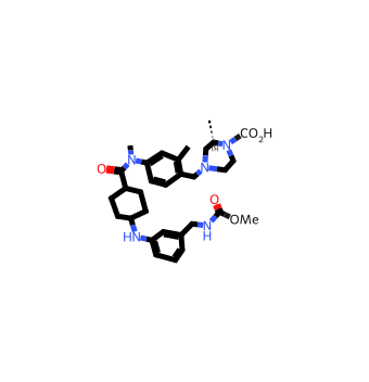 COC(=O)NCc1cccc(NC2CCC(C(=O)N(C)c3ccc(CN4CCN(C(=O)O)[C@@H](C)C4)c(C)c3)CC2)c1